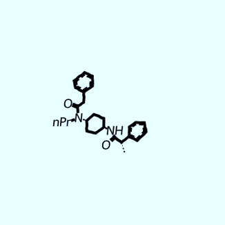 CCCN(C(=O)Cc1ccccc1)[C@H]1CC[C@H](NC(=O)[C@@H](C)c2ccccc2)CC1